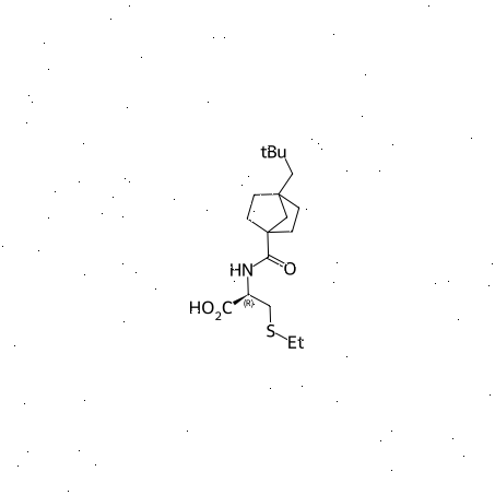 CCSC[C@H](NC(=O)C12CCC(CC(C)(C)C)(CC1)C2)C(=O)O